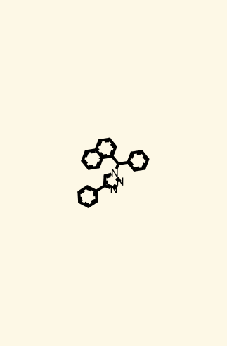 c1ccc(-c2cn(C(c3ccccc3)c3cccc4ccccc34)nn2)cc1